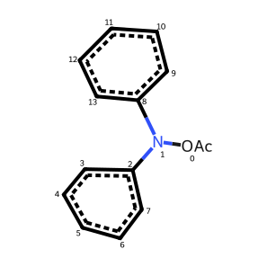 CC(=O)ON(c1ccccc1)c1ccccc1